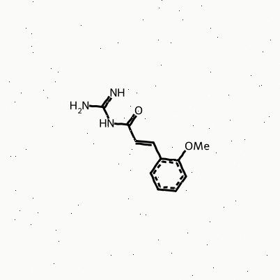 COc1ccccc1/C=C/C(=O)NC(=N)N